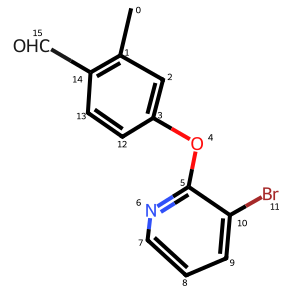 Cc1cc(Oc2ncccc2Br)ccc1C=O